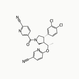 C[C@H](Oc1ccc(C#N)cn1)[C@H]1CN(C(=O)c2ccc(C#N)nc2)C[C@@H]1c1ccc(Cl)c(Cl)c1